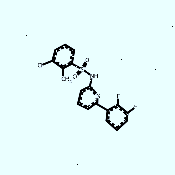 Cc1c(Cl)cccc1S(=O)(=O)Nc1cccc(-c2cccc(F)c2F)n1